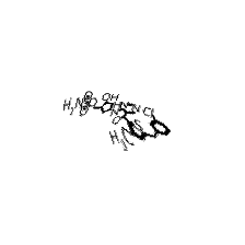 Cc1cc(Cc2cccc(Cl)c2)sc1C(=O)c1cncnc1N[C@@H]1CC(COS(N)(=O)=O)[C@@H](O)C1